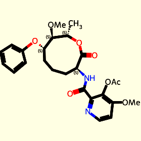 COc1ccnc(C(=O)N[C@H]2CCC[C@H](Oc3ccccc3)[C@@H](OC)[C@H](C)OC2=O)c1OC(C)=O